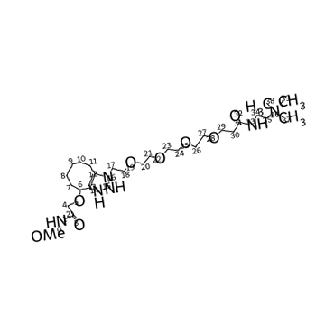 CONC(=O)COC1CCCCCC2=C1NNN2CCOCCOCCOCCOCCC(=O)NCC[N+](C)(C)C